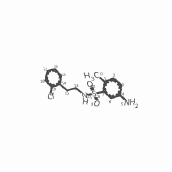 Cc1ccc(N)cc1S(=O)(=O)NCCc1ccccc1Cl